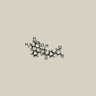 NC(=O)C(C[C@H](NC(OC(=O)Nc1ccc(N(CCCl)CCCl)cc1)c1ccccc1)C(=O)O)C(N)=O